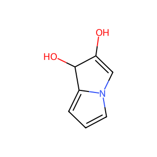 OC1=Cn2cccc2C1O